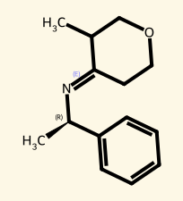 CC1COCC/C1=N\[C@H](C)c1ccccc1